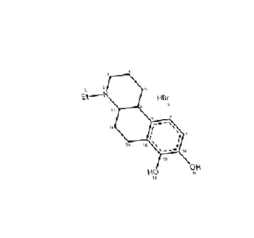 Br.CCN1CCCC2c3ccc(O)c(O)c3CCC21